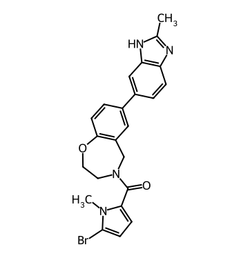 Cc1nc2ccc(-c3ccc4c(c3)CN(C(=O)c3ccc(Br)n3C)CCO4)cc2[nH]1